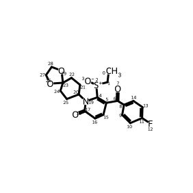 CC[S+]([O-])c1c(C(=O)c2ccc(F)cc2)ccc(=O)n1C1CCC2(CC1)OCCO2